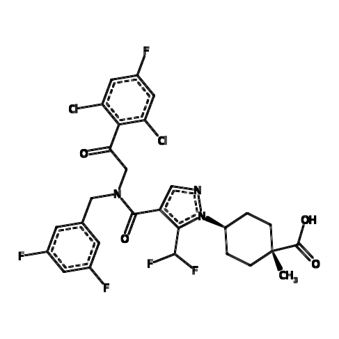 C[C@]1(C(=O)O)CC[C@H](n2ncc(C(=O)N(CC(=O)c3c(Cl)cc(F)cc3Cl)Cc3cc(F)cc(F)c3)c2C(F)F)CC1